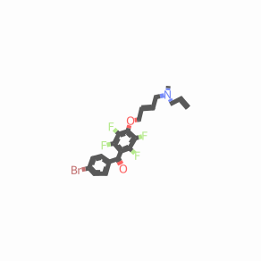 C=CCN(C)CC=CCOc1c(F)c(F)c(C(=O)c2ccc(Br)cc2)c(F)c1F